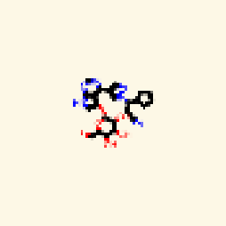 N#CCC(C1CCCC1)n1cc(-c2ncnc3[nH]cc(OC4OC(C=O)C(O)C(O)C4O)c23)cn1